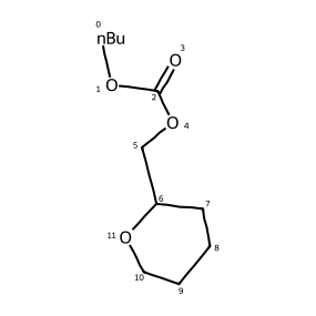 CCCCOC(=O)OCC1CCCCO1